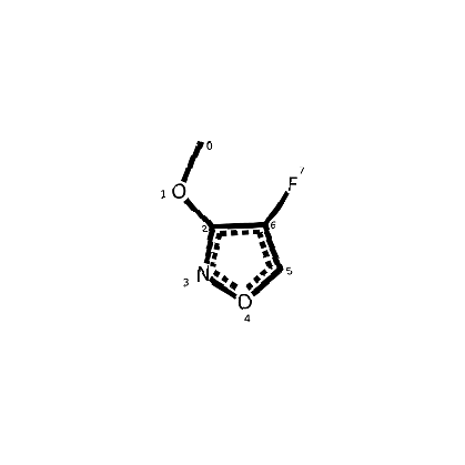 COc1nocc1F